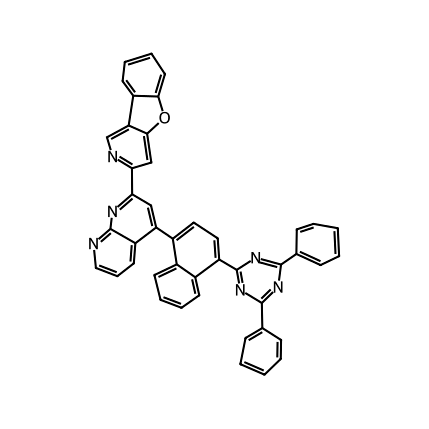 c1ccc(-c2nc(-c3ccccc3)nc(-c3ccc(-c4cc(-c5cc6oc7ccccc7c6cn5)nc5ncccc45)c4ccccc34)n2)cc1